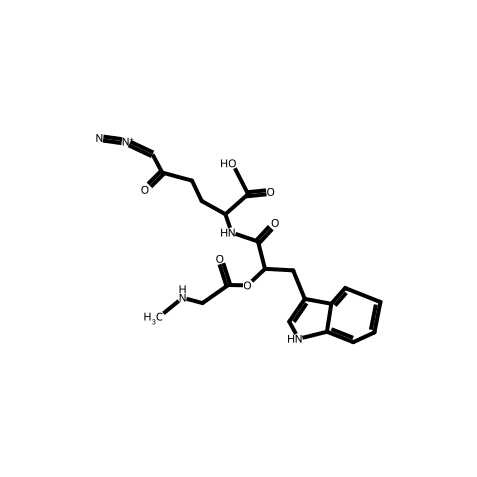 CNCC(=O)OC(Cc1c[nH]c2ccccc12)C(=O)NC(CCC(=O)C=[N+]=[N-])C(=O)O